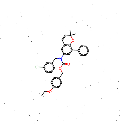 CCOc1ccc(COC(=O)N(Cc2cccc(Cl)c2)c2cc3c(c(-c4ccccc4)c2)OC(C)(C)C=C3)cc1